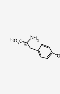 N[C@@H](Cc1ccc(OI)cc1)C(=O)O